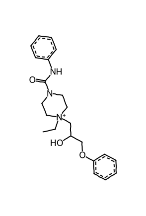 CC[N+]1(CC(O)COc2ccccc2)CCN(C(=O)Nc2ccccc2)CC1